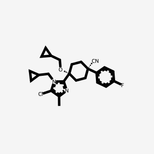 Cc1nc([C@]2(OCC3CC3)CC[C@](C#N)(c3ccc(F)cc3)CC2)n(CC2CC2)c1Cl